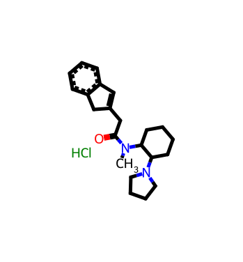 CN(C(=O)CC1=Cc2ccccc2C1)C1CCCCC1N1CCCC1.Cl